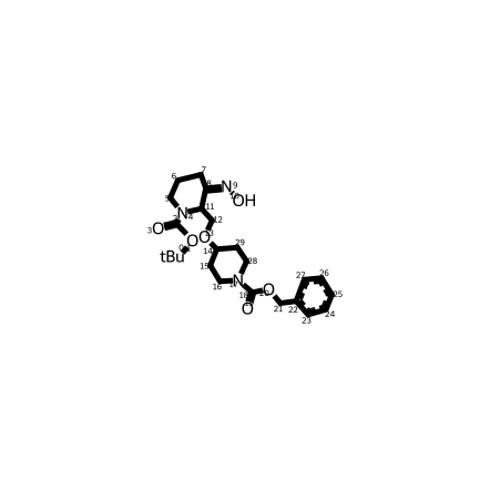 CC(C)(C)OC(=O)N1CCCC(=NO)C1COC1CCN(C(=O)OCc2ccccc2)CC1